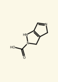 O=C(O)N1CC2=C(C=NC2)N1